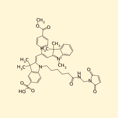 COC(=O)c1ccc(C(=C\C2=[N+](C)c3ccccc3C2(C)C)/C=C2\N(CCCCCC(=O)NCN3C(=O)C=CC3=O)c3ccc(S(=O)(=O)O)cc3C2(C)C)cc1